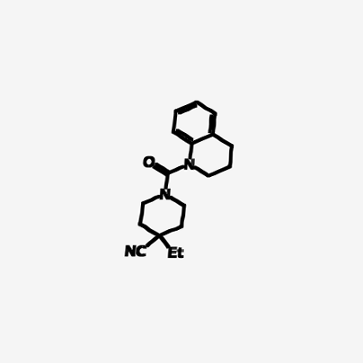 CCC1(C#N)CCN(C(=O)N2CCCc3ccccc32)CC1